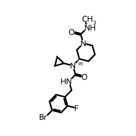 CNC(=O)N1CCC[C@@H](N(C(=O)NCc2ccc(Br)cc2F)C2CC2)C1